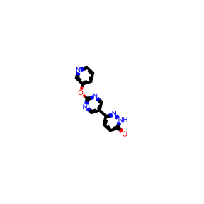 O=c1ccc(-c2cnc(Oc3cccnc3)nc2)n[nH]1